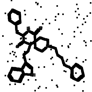 O=C1C(Cc2ccccc2)NC(=O)C2(CCN(CCCCc3ccccc3)CC2)N1CCc1c[nH]c2ccccc12